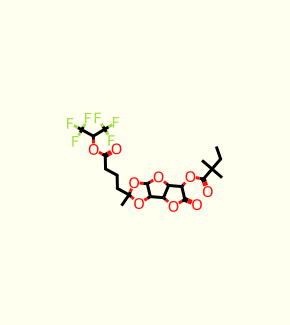 CCC(C)(C)C(=O)OC1C(=O)OC2C3OC(C)(CCCC(=O)OC(C(F)(F)F)C(F)(F)F)OC3OC12